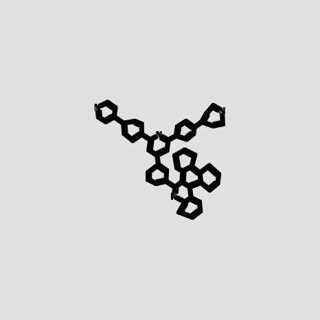 c1cc(-c2cc(-c3ccc(-c4ccncc4)cc3)nc(-c3ccc(-c4ccncc4)cc3)c2)cc(-c2nc3ccccc3c3c4ccccc4c4ccccc4c23)c1